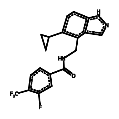 O=C(NCc1c(C2CC2)ccc2[nH]ncc12)c1ccc(C(F)(F)F)c(F)c1